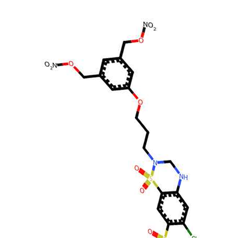 NS(=O)(=O)c1cc2c(cc1Cl)NCN(CCCOc1cc(CO[N+](=O)[O-])cc(CO[N+](=O)[O-])c1)S2(=O)=O